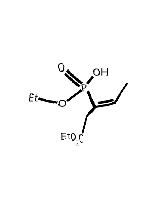 CC=C(C(=O)OCC)P(=O)(O)OCC